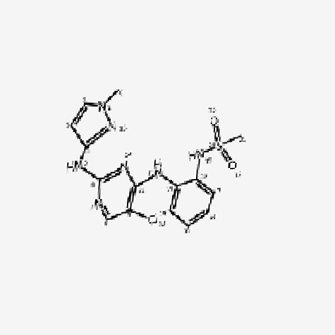 Cn1ccc(Nc2ncc(Cl)c(Nc3ccccc3NS(C)(=O)=O)n2)n1